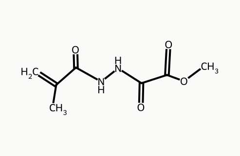 C=C(C)C(=O)NNC(=O)C(=O)OC